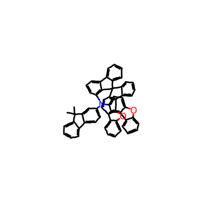 CC1(C)c2ccccc2-c2ccc(N(c3ccc4oc5ccccc5c4c3)c3cccc4c3C3(c5ccccc5-4)c4ccccc4-c4c3ccc3c4oc4ccccc43)cc21